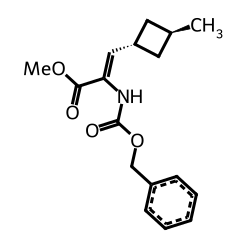 COC(=O)/C(=C/[C@H]1C[C@H](C)C1)NC(=O)OCc1ccccc1